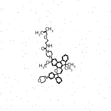 C=C(C)COCCNC(=O)N1CCN(c2cc3c4c(c5c(c3cc2OC)OC(c2ccccc2)(c2ccc(N3CCOCC3)cc2)C=C5)C(C)(C)c2ccccc2-4)CC1